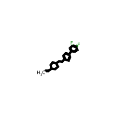 CC=CC1CCC(CCc2ccc(-c3ccc(F)c(F)c3)cc2)CC1